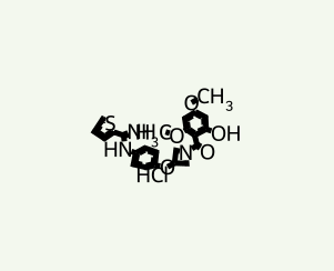 COc1cc(O)c(C(=O)N2CC(Oc3ccc(NC(=N)c4cccs4)cc3)C2)c(OC)c1.Cl